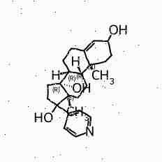 C[C@]12CCC(O)C=C1CC[C@@H]1[C@H]2CC[C@]2(C)C(O)(c3ccncc3)CC[C@@]12O